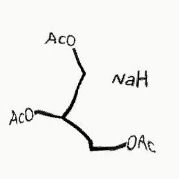 CC(=O)OCC(COC(C)=O)OC(C)=O.[NaH]